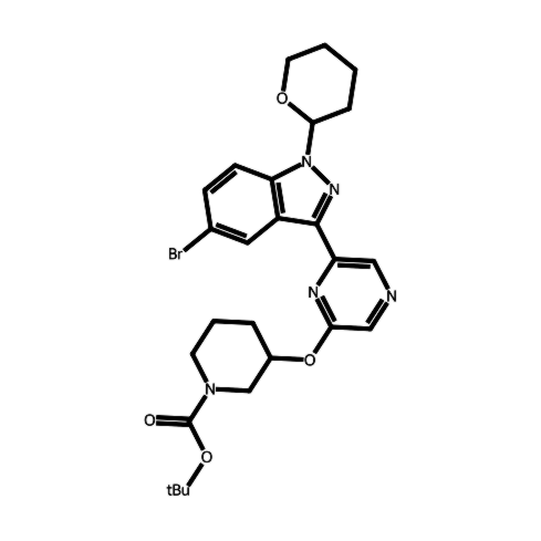 CC(C)(C)OC(=O)N1CCCC(Oc2cncc(-c3nn(C4CCCCO4)c4ccc(Br)cc34)n2)C1